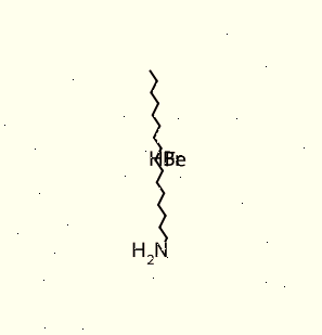 Br.CCCCCCCCCCCCCCCCN.[Fe]